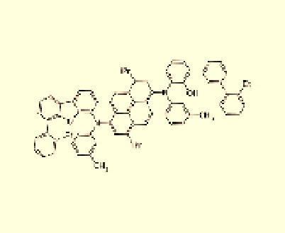 CCc1ccccc1-c1cccc(-c2cccc(N(c3cccc(C)c3)c3cc(C(C)C)c4ccc5c(N(c6cccc(C)c6)c6cccc7c6oc6c(-c8ccccc8CC)cccc67)cc(C(C)C)c6ccc3c4c65)c2O)c1